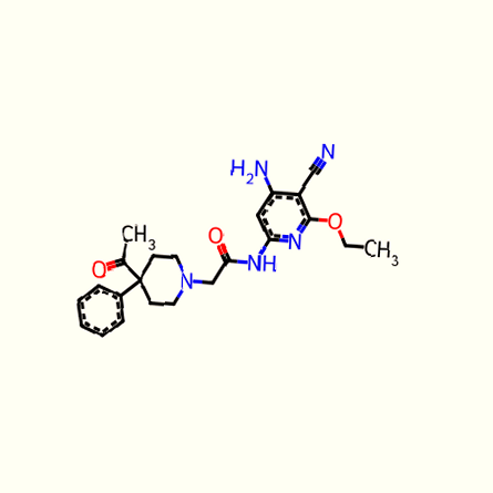 CCOc1nc(NC(=O)CN2CCC(C(C)=O)(c3ccccc3)CC2)cc(N)c1C#N